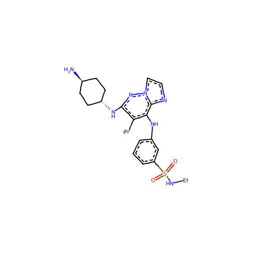 CCNS(=O)(=O)c1cccc(Nc2c(C(C)C)c(N[C@H]3CC[C@H](N)CC3)nn3ccnc23)c1